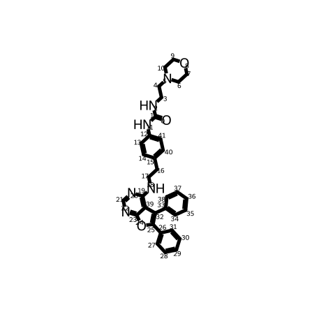 O=C(NCCN1CCOCC1)Nc1ccc(CCNc2ncnc3oc(-c4ccccc4)c(-c4ccccc4)c23)cc1